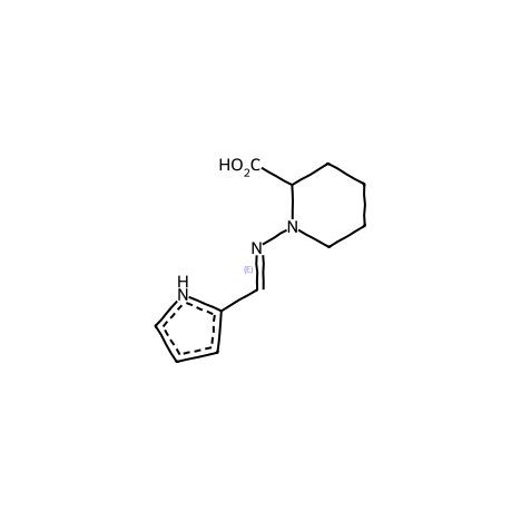 O=C(O)C1CCCCN1/N=C/c1ccc[nH]1